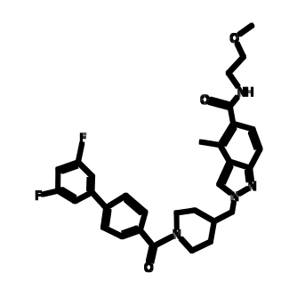 COCCNC(=O)c1ccc2nn(CC3CCN(C(=O)c4ccc(-c5cc(F)cc(F)c5)cc4)CC3)cc2c1C